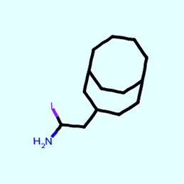 NC(I)CC1CCC2CCCCC(CC2)C1